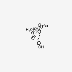 C=C(C)C(=O)OC1C2CC3CC(C2)CC1C3.CC(C)(C)OC(=O)Oc1ccc(C=CC=Cc2ccc(O)cc2)cc1